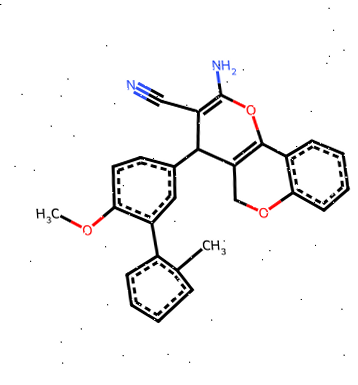 COc1ccc(C2C(C#N)=C(N)OC3=C2COc2ccccc23)cc1-c1ccccc1C